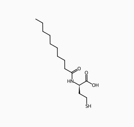 CCCCCCCCCC(=O)N[C@H](CCS)C(=O)O